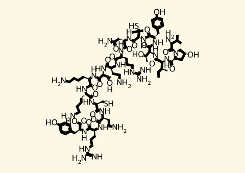 CC[C@H](C)[C@H](NC(=O)[C@@H]1C[C@@H](O)CN1C(=O)[C@@H](N)C(C)C)C(=O)N[C@H](C(=O)N[C@@H](Cc1ccc(O)cc1)C(=O)N[C@H](C(=O)N[C@@H](CC(N)=O)C(=O)N[C@@H](CCCNC(=N)N)C(=O)N[C@@H](CCN)C(=O)N[C@H](C(=O)N[C@H](CCCCN)C(=O)N[C@@H](CCCCN)C(=O)N[C@@H](CS)C(=O)N[C@@H](CCN)C(=O)N[C@@H](CCCNC(=N)N)C(=O)N[C@@H](Cc1ccc(O)cc1)C(=O)O)[C@@H](C)O)C(C)(C)S)[C@@H](C)O